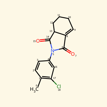 Cc1ccc(N2C(=O)C3=CCCCC3C2=O)cc1Cl